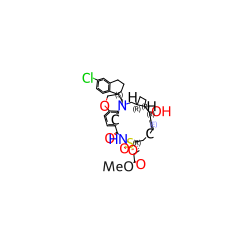 COC(=O)CC[C@H]1CC/C=C/[C@H](O)[C@@H]2CC[C@H]2CN2C[C@@]3(CCCc4cc(Cl)ccc43)COc3ccc(cc32)C(=O)NS1(=O)=O